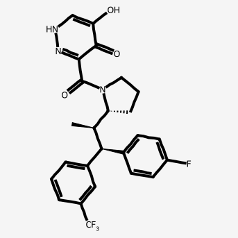 C[C@H]([C@@H](c1ccc(F)cc1)c1cccc(C(F)(F)F)c1)[C@H]1CCCN1C(=O)c1n[nH]cc(O)c1=O